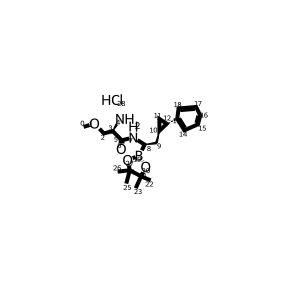 COC[C@@H](N)C(=O)N[C@@H](C[C@H]1C[C@@H]1c1ccccc1)B1OC(C)(C)C(C)(C)O1.Cl